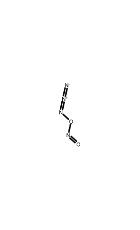 [N-]=[N+]=NON=O